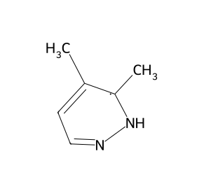 C[C]1NN=CC=C1C